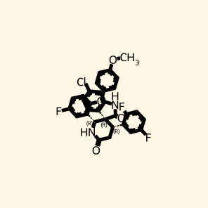 COc1ccc(Oc2ccc(F)cc2[C@H]2NC(=O)C[C@@H](c3cc(F)ccc3F)[C@]23C(=O)Nc2cc(Cl)ccc23)cc1